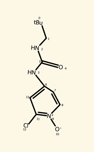 CC(C)(C)CNC(=O)Nc1cc[n+]([O-])c(Cl)c1